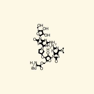 CCC(C)[C@H](N)C(=O)OC[C@H]1O[C@@H](n2c(=O)sc3c(N(C)C)nc(N)nc32)[C@H](O)[C@@H]1OC1CCN(c2nc(N)nc3c2sc(=O)n3[C@@H]2O[C@H](CO)[C@@H](O)[C@H]2O)C1